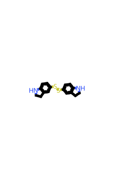 c1cc2c(cc1SSc1ccc3c(c1)CCN3)CCN2